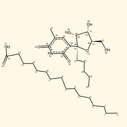 CCCCCCCCCCCCCCCC(=O)O.CCCCC[C@@]1(n2cc(C)c(=O)[nH]c2=O)O[C@H](CO)[C@@H](O)[C@H]1O